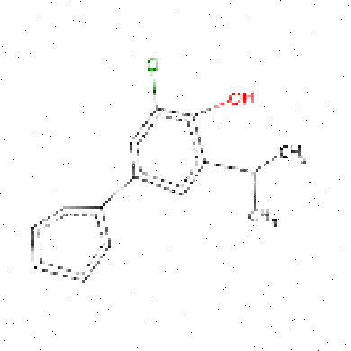 CC(C)c1cc(-c2ccccc2)cc(Cl)c1O